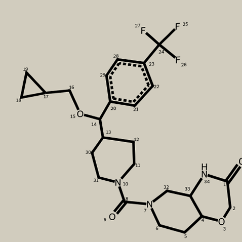 O=C1COC2CCN(C(=O)N3CCC(C(OCC4CC4)c4ccc(C(F)(F)F)cc4)CC3)CC2N1